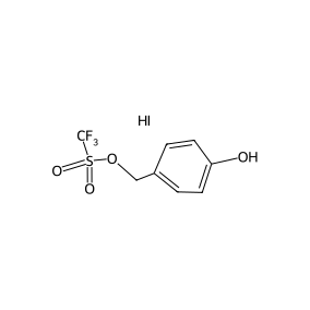 I.O=S(=O)(OCc1ccc(O)cc1)C(F)(F)F